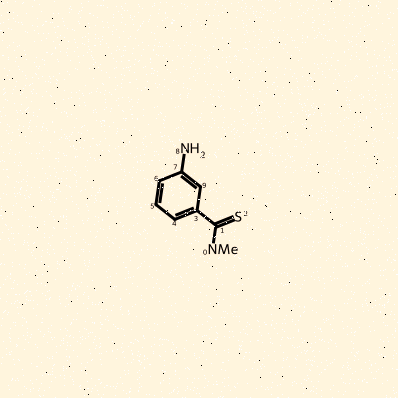 CNC(=S)c1cccc(N)c1